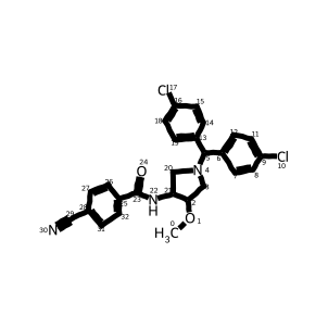 COC1CN(C(c2ccc(Cl)cc2)c2ccc(Cl)cc2)CC1NC(=O)c1ccc(C#N)cc1